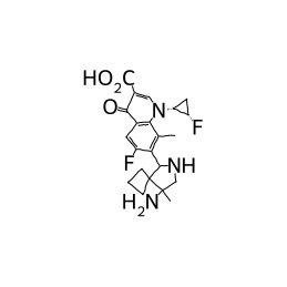 Cc1c(C2NCC(C)(N)C23CCC3)c(F)cc2c(=O)c(C(=O)O)cn([C@@H]3C[C@@H]3F)c12